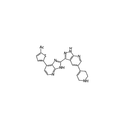 CC(=O)c1ccc(-c2ccnc3[nH]c(-c4n[nH]c5ncc(C6=CCNCC6)cc45)nc23)s1